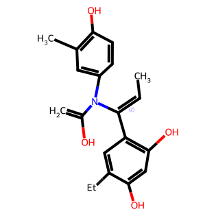 C=C(O)N(/C(=C\C)c1cc(CC)c(O)cc1O)c1ccc(O)c(C)c1